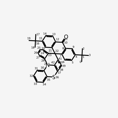 CC(C)(C)c1ccc2c(c1)C(=O)c1ccc(C(C)(C)C)cc1C21c2ccccc2N2c3ccccc3Sc3cccc1c32